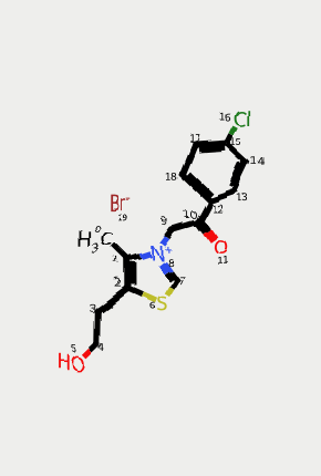 Cc1c(CCO)sc[n+]1CC(=O)c1ccc(Cl)cc1.[Br-]